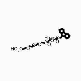 O=C(O)CCOCCOCCOCCNC(=O)CONC(=O)OCC1c2ccccc2-c2ccccc21